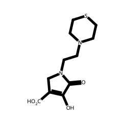 O=C(O)C1=C(O)C(=O)N(CCN2CCSCC2)C1